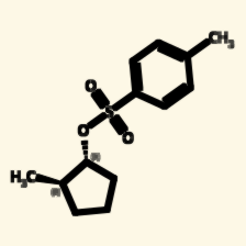 Cc1ccc(S(=O)(=O)O[C@@H]2CCC[C@H]2C)cc1